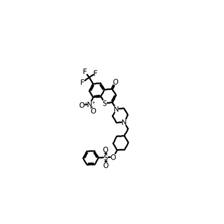 O=c1cc(N2CCN(CC3CCC(OS(=O)(=O)c4ccccc4)CC3)CC2)sc2c([N+](=O)[O-])cc(C(F)(F)F)cc12